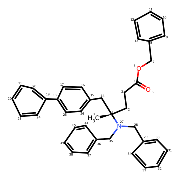 C[C@](CCC(=O)OCc1ccccc1)(Cc1ccc(-c2ccccc2)cc1)N(Cc1ccccc1)Cc1ccccc1